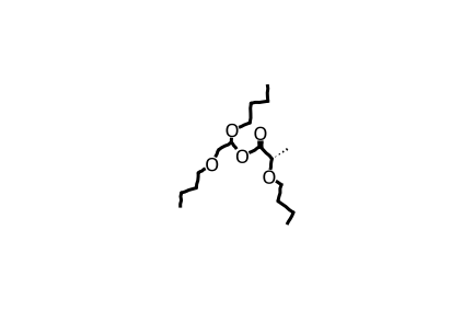 CCCCOCC(OCCCC)OC(=O)[C@H](C)OCCCC